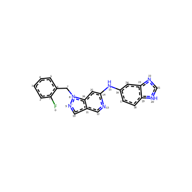 Fc1ccccc1Cn1ncc2cnc(Nc3ccc4[nH]cnc4c3)cc21